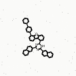 c1ccc(-c2ccc(-c3cccc4c3oc3cccc(C5N=C(c6ccc7ccccc7c6)N=C(c6ccc7ccccc7c6)N5)c34)cc2)cc1